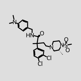 C[C@@H]1CN(CCC(C)(C(=O)NCc2ccc(N(C)C)cc2)c2ccc(Cl)c(Cl)c2)CCN1S(C)(=O)=O